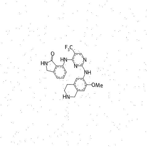 COc1cc2c(cc1Nc1ncc(C(F)(F)F)c(Nc3cccc4c3C(=O)NC4)n1)CCNC2